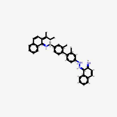 CC/C(C)=C1/C=Cc2ccccc2/C1=N/Bc1ccc(-c2ccc(N/N=C3\C(=N)C=Cc4ccccc43)cc2C)c(C)c1